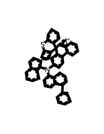 c1ccc(-c2cccc3c(N(c4ccc5c(c4)C4(c6ccccc6Sc6ccccc64)c4cccc6cccc-5c46)c4cccc5ccccc45)cccc23)cc1